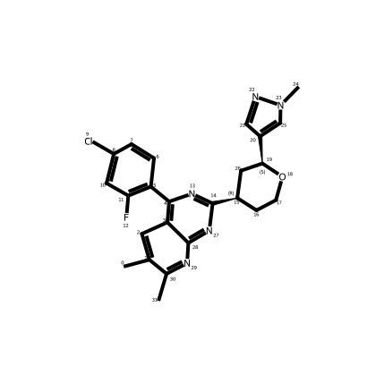 Cc1cc2c(-c3ccc(Cl)cc3F)nc([C@@H]3CCO[C@H](c4cnn(C)c4)C3)nc2nc1C